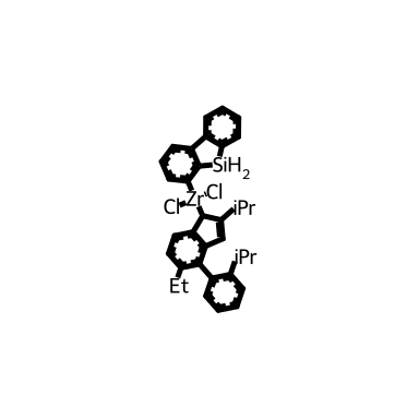 CCc1ccc2c(c1-c1ccccc1C(C)C)C=C(C(C)C)[CH]2[Zr]([Cl])([Cl])[c]1cccc2c1[SiH2]c1ccccc1-2